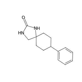 O=C1NCC2(CCC(c3ccccc3)CC2)N1